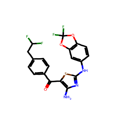 Nc1nc(Nc2ccc3c(c2)OC(F)(F)O3)sc1C(=O)c1ccc(CC(F)F)cc1